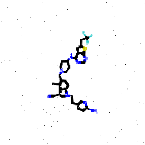 Cc1c(CN2CCC(Nc3ncnc4sc(CC(F)(F)F)cc34)CC2)ccc2c1c(C#N)cn2CCc1ccc(N)nc1